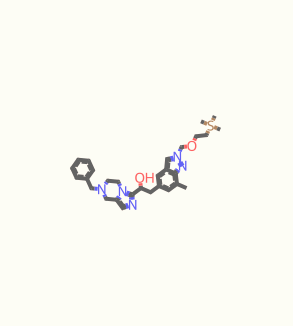 Cc1cc(CC(O)c2ncc3n2CCN(Cc2ccccc2)C3)cc2cn(COCCS(C)(C)C)nc12